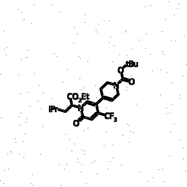 CCOC(=O)C(CC(C)C)n1cc(C2=CCN(C(=O)OC(C)(C)C)CC2)c(C(F)(F)F)cc1=O